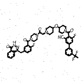 CC(F)(F)c1cccc(-c2cc(F)c(C(=O)N3CCC(OC4CCN(CC(=O)N5CCN(C(=O)c6cc(Cc7n[nH]c(=O)c8ccccc78)ccc6F)CC5)CC4)CC3)c(C#N)c2)c1